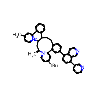 C=C1CC2C(CCc3ccc(-c4ccc(-c5cccnc5)c5cnccc45)cc3-c3cc(C(C)(C)C)cc[n+]31)c1ccccc1-c1cc(C)cc[n+]12